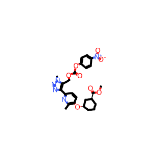 COC(=O)[C@H]1CCC[C@H](Oc2ccc(-c3nnn(C)c3COC(=O)Oc3ccc([N+](=O)[O-])cc3)nc2C)C1